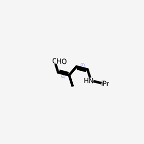 CC(/C=C\NC(C)C)=C/C=O